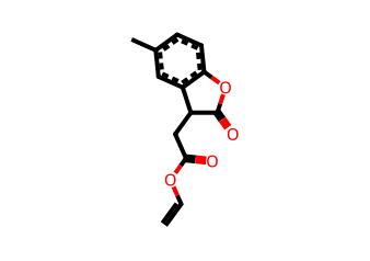 C=COC(=O)CC1C(=O)Oc2ccc(C)cc21